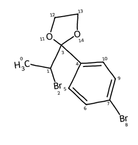 CC(Br)C1(c2ccc(Br)cc2)OCCO1